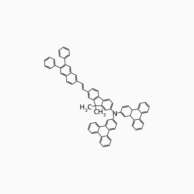 CC1(C)c2cc(/C=C/c3ccc4cc(-c5ccccc5)c(-c5ccccc5)cc4c3)ccc2-c2ccc(N(C3=CC4c5ccccc5-c5ccccc5C4C=C3)c3ccc4c5ccccc5c5ccccc5c4c3)cc21